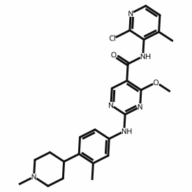 COc1nc(Nc2ccc(C3CCN(C)CC3)c(C)c2)ncc1C(=O)Nc1c(C)ccnc1Cl